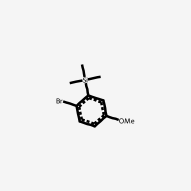 COc1ccc(Br)c([Si](C)(C)C)c1